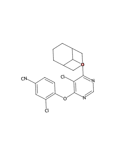 [C-]#[N+]c1ccc(Oc2ncnc(OC3C4CCCC3COC4)c2Cl)c(Cl)c1